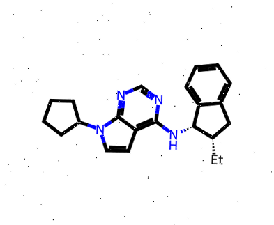 CC[C@H]1Cc2ccccc2[C@H]1Nc1ncnc2c1ccn2C1CCCC1